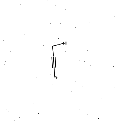 CCC#CC[NH]